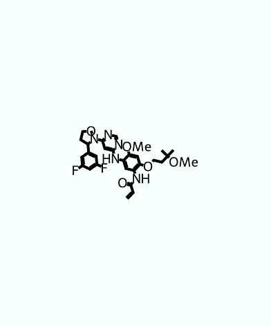 C=CC(=O)Nc1cc(Nc2cc(N3OCCC3c3cc(F)cc(F)c3)ncn2)c(OC)cc1OCCC(C)(C)OC